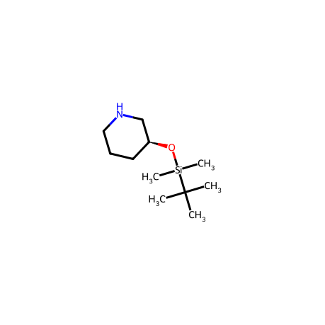 CC(C)(C)[Si](C)(C)O[C@H]1CCCNC1